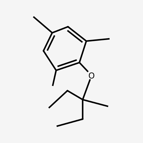 CCC(C)(CC)Oc1c(C)cc(C)cc1C